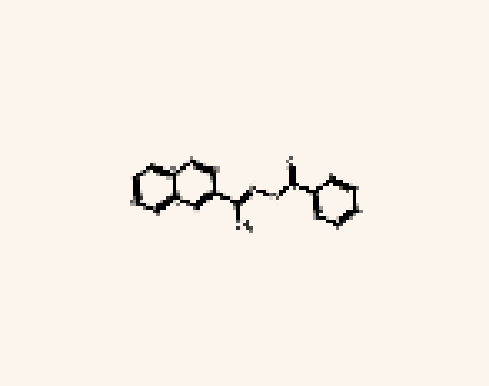 CC(=NOC(=O)c1ccccc1)c1ccc2ccccc2c1